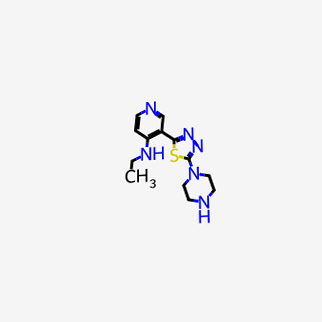 CCNc1ccncc1-c1nnc(N2CCNCC2)s1